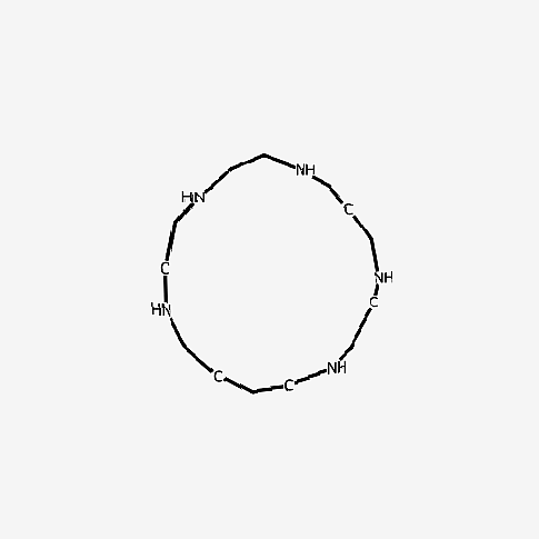 C1CCNCCNCCNCCCNCCNC1